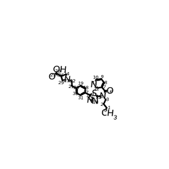 CCCCN(C(=O)c1cccnc1)c1nnc(-c2ccc(CCN3CC(C(=O)O)C3)cc2)s1